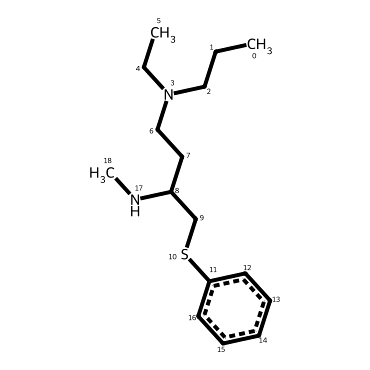 CCCN(CC)CCC(CSc1ccccc1)NC